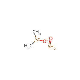 C[S+](C)[O-].O=[SH2]